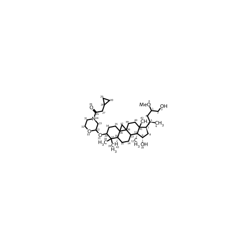 COC(CO)C[C@@H](C)[C@H]1C[C@H](O)[C@@]2(C)C3CC[C@H]4C(C)(C)C(OC5CN(C(=O)CC6CC6)CCO5)CCC45CC35CCC12C